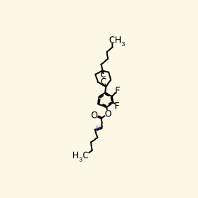 CCCC/C=C/C(=O)Oc1ccc(C23CCC(CCCCC)(CC2)CC3)c(F)c1F